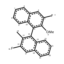 COc1c(F)cc2ccccc2c1-c1c(C)c(F)cc2ccccc12